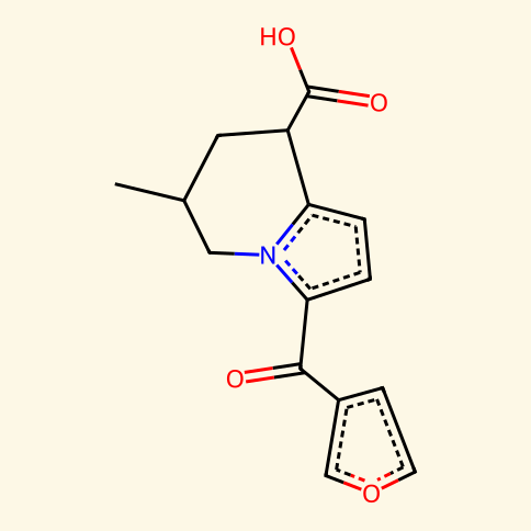 CC1CC(C(=O)O)c2ccc(C(=O)c3ccoc3)n2C1